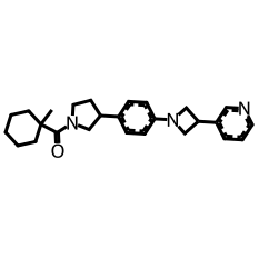 CC1(C(=O)N2CCC(c3ccc(N4CC(c5cccnc5)C4)cc3)C2)CCCCC1